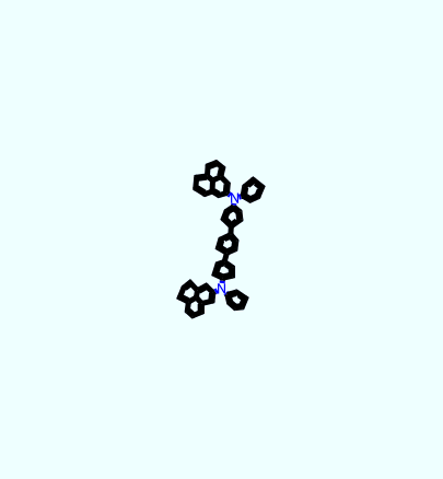 C1=CC2=CC=CC3=CC(N(c4ccccc4)c4ccc(-c5ccc(-c6ccc(N(C7=CC8=CC=CC9=CC=CC(=C7)C98)c7ccccc7)cc6)cc5)cc4)=CC(=C1)C23